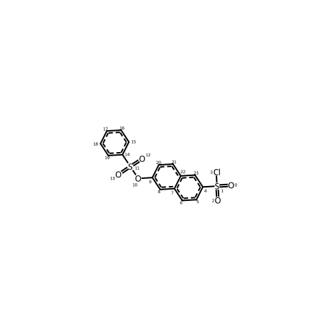 O=S(=O)(Cl)c1ccc2cc(OS(=O)(=O)c3ccccc3)ccc2c1